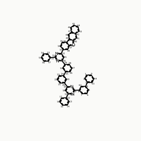 c1ccc(-c2cccc(-c3nc(-c4ccccc4)cc(-c4cccc(-c5cccc(-c6cc(-c7ccc8c(c7)oc7cc9ccccc9cc78)nc(-c7ccccc7)n6)c5)c4)n3)c2)cc1